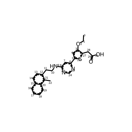 CCOc1cc(-c2cc(NCCc3ccc4ccccc4c3C)ncn2)sc1CC(=O)O